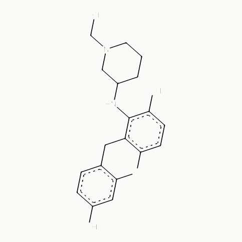 CCN1CCCC(Nc2c(C)ccc3c2Cc2ccc(O)cc2O3)C1